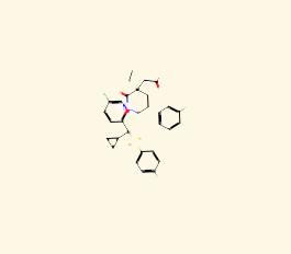 CC[C@@]1(CC(=O)O)C[C@H](c2cccc(Cl)c2)[C@H](C[C@@](c2ccc(Cl)cc2)(C2CC2)S(=O)(=O)c2ccc(F)cc2)NC1=O